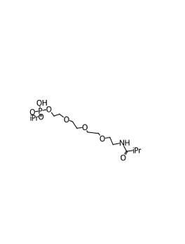 CC(C)OP(=O)(O)OCCOCCOCCOCCNC(=O)C(C)C